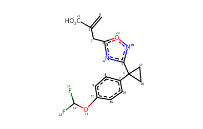 C=C(Cc1nc(C2(c3ccc(OC(F)F)cc3)CC2)no1)C(=O)O